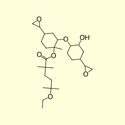 CCOC(C)(C)CCC(C)(C)C(=O)OC1(C)CCC(C2CO2)CC1OC1CCC(C2CO2)CC1O